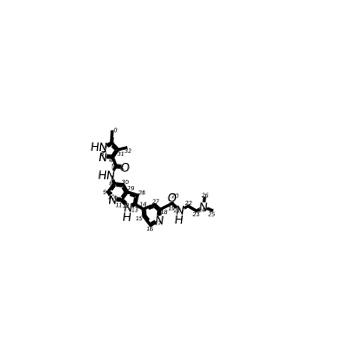 Cc1[nH]nc(C(=O)Nc2cnc3[nH]c(-c4ccnc(C(=O)NCCN(C)C)c4)cc3c2)c1C